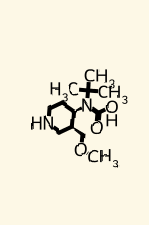 COC[C@H]1CNCC[C@H]1N(C(=O)O)C(C)(C)C